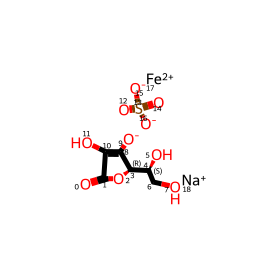 O=C1O[C@H]([C@@H](O)CO)C([O-])=C1O.O=S(=O)([O-])[O-].[Fe+2].[Na+]